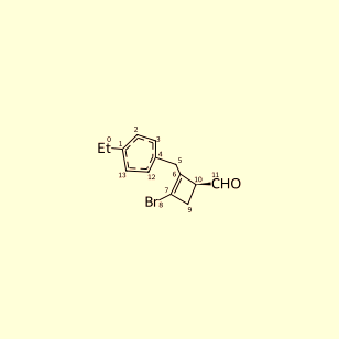 CCc1ccc(CC2=C(Br)C[C@@H]2C=O)cc1